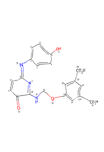 O=C1C=CC(=Nc2ccc(O)cc2)N=C1NCOc1cc(C(=O)O)cc(C(=O)O)c1